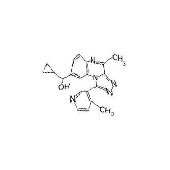 Cc1ccncc1-c1nnc2c(C)nc3ccc(C(O)C4CC4)cc3n12